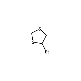 CCC1CSCS1